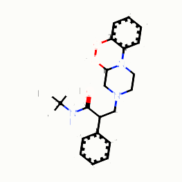 CC(C)(C)NC(=O)C(CN1CCN2c3ccccc3OOC2C1)c1ccccc1